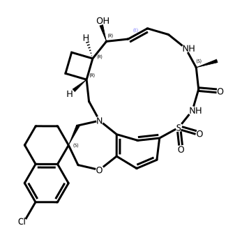 C[C@@H]1NC/C=C/[C@H](O)[C@@H]2CC[C@H]2CN2C[C@@]3(CCCc4cc(Cl)ccc43)COc3ccc(cc32)S(=O)(=O)NC1=O